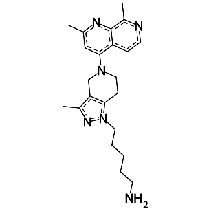 Cc1cc(N2CCc3c(c(C)nn3CCCCCN)C2)c2ccnc(C)c2n1